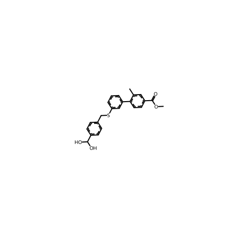 COC(=O)c1ccc(-c2cccc(SCc3ccc(C(O)O)cc3)c2)c(C)c1